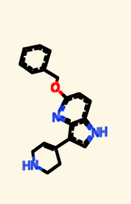 C1=C(c2c[nH]c3ccc(OCc4ccccc4)nc23)CCNC1